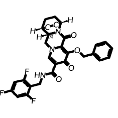 O=C(NCc1c(F)cc(F)cc1F)c1cn2c(c(OCc3ccccc3)c1=O)C(=O)N1[C@H]3CC[C@H](CC3)[C@H]1C2